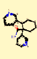 NC(=O)C1(c2cccnc2)CCCCC1c1cccnc1